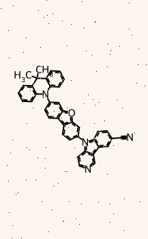 CC1(C)c2ccccc2N(c2ccc3c(c2)oc2cc(-n4c5ccncc5c5cc(C#N)ccc54)ccc23)c2ccccc21